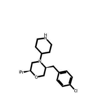 CC(C)[C@H]1CN(C2CCNCC2)[C@@H](Cc2ccc(Cl)cc2)CO1